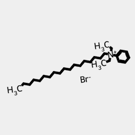 CCCCCCCCCCCCCCCCCC[N+](CC)(CC)c1ccccc1.[Br-]